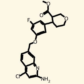 COC(=O)C1COCCC1c1cc(F)cc(OCc2ccc3c(Cl)cc(N)nc3c2)c1